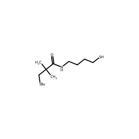 CC(C)(C)CC(C)(C)C(=O)NCCCCS